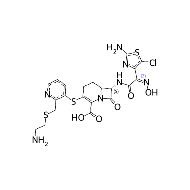 NCCSCc1ncccc1SC1=C(C(=O)O)N2C(=O)[C@@H](NC(=O)/C(=N\O)c3nc(N)sc3Cl)C2CC1